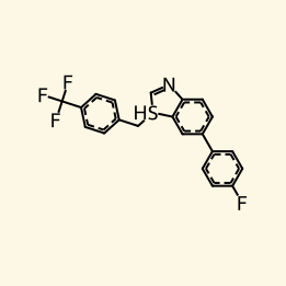 Fc1ccc(-c2ccc3c(c2)[SH](Cc2ccc(C(F)(F)F)cc2)C=N3)cc1